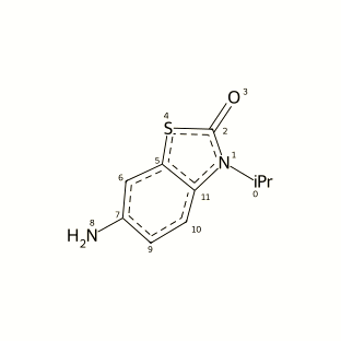 CC(C)n1c(=O)sc2cc(N)ccc21